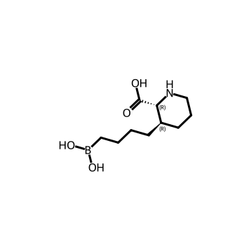 O=C(O)[C@@H]1NCCC[C@H]1CCCCB(O)O